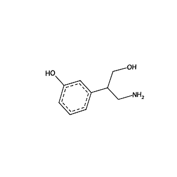 NCC(CO)c1cccc(O)c1